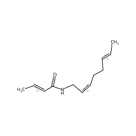 C/C=C/CC/C=C\CNC(=O)/C=C/C